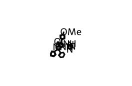 COc1ccc(-c2c(Nc3cncnn3)[nH]c3c(C4=CCCCC4)c(-c4ccccc4)nn3c2=O)cc1